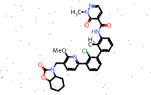 COc1nc(-c2cccc(-c3cccc(NC(=O)c4ccnn(C)c4=O)c3C)c2Cl)ccc1CN1C(=O)OC2CCCCC21